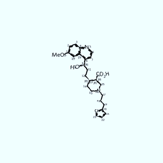 COc1ccc2nccc([C@H](O)CC[C@@H]3CCN(CCCc4ccco4)C[C@@H]3C(=O)O)c2c1